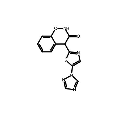 O=C1NOc2ccccc2C1c1ncc(-n2cncn2)s1